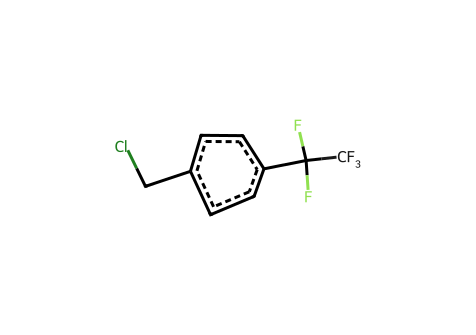 FC(F)(F)C(F)(F)c1ccc(CCl)cc1